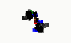 N#Cc1ccc(-n2c(Br)cnc2SCC(=O)NC(Cc2c[nH]c3ccccc23)C(=O)O)c2ccccc12